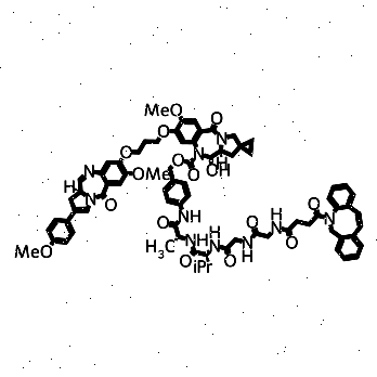 COc1ccc(C2=CN3C(=O)c4cc(OC)c(OCCCOc5cc6c(cc5OC)C(=O)N5CC7(CC7)C[C@H]5C(O)N6C(=O)OCc5ccc(NC(=O)[C@H](C)NC(=O)[C@@H](NC(=O)CNC(=O)CNC(=O)CCC(=O)N6Cc7ccccc7/C=C\c7ccccc76)C(C)C)cc5)cc4N=C[C@@H]3C2)cc1